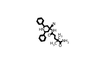 CC(C)(C[CH]C(=O)NC1(C#N)CC(c2ccccc2)NC(c2ccccc2)C1)C(N)=O